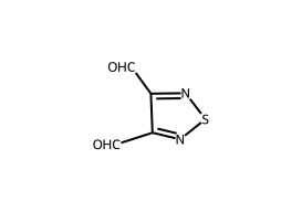 O=Cc1nsnc1C=O